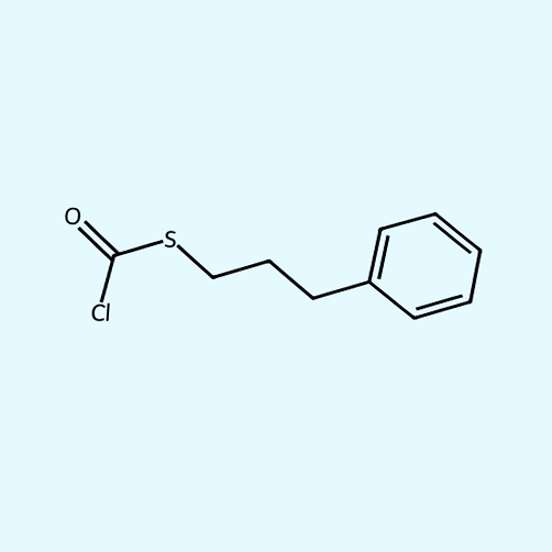 O=C(Cl)SCCCc1ccccc1